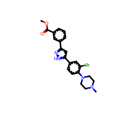 COC(=O)c1cccc(-c2cc(-c3ccc(N4CCN(C)CC4)c(Br)c3)[nH]n2)c1